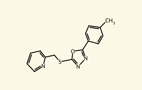 Cc1ccc(-c2nnc(SCc3ccccn3)o2)cc1